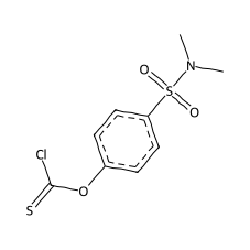 CN(C)S(=O)(=O)c1ccc(OC(=S)Cl)cc1